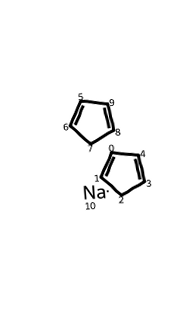 C1=CCC=C1.C1=CCC=C1.[Na]